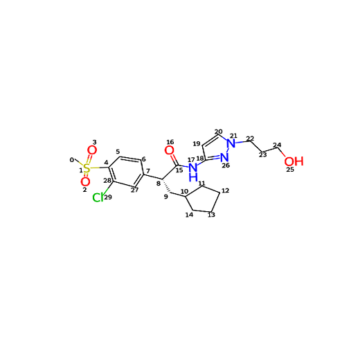 CS(=O)(=O)c1ccc([C@@H](CC2CCCC2)C(=O)Nc2ccn(CCCO)n2)cc1Cl